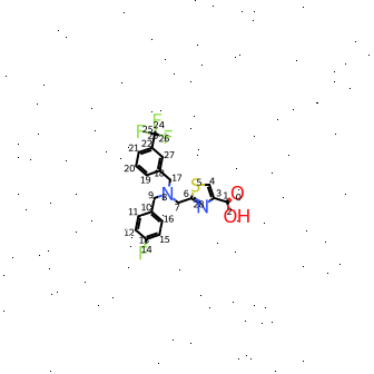 O=C(O)c1csc(CN(Cc2ccc(F)cc2)Cc2cccc(C(F)(F)F)c2)n1